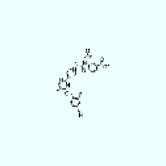 COC(=O)c1ccc2nc(C(C)N3CCN(c4ncc(F)c(OCc5ccc(C#N)cc5F)n4)CC3)n(C[C@@H]3CCO3)c2c1